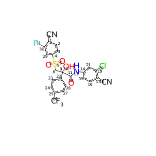 N#Cc1ccc(S(=O)(=O)CC(O)(C(=O)Nc2ccc(C#N)c(Cl)c2)c2ccc(C(F)(F)F)cc2)cc1F